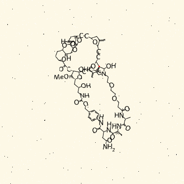 C=C1CC2CC[C@]34C[C@H]5OC6(O3)C3C(OC7CCC(CC(=O)CC8C(CC9OC(CCC1O2)C[C@@H](C)C9=C)OC(CC(O)CNC(=O)OCc1ccc(NC(=O)C(CC(N)=O)NC(=O)[C@H](C)NC(=O)C(C)NC(=O)CCOCCOCCN2CC(C=O)=CC2O)cc1)[C@@H]8OC)O[C@@H]7C3O4)C56